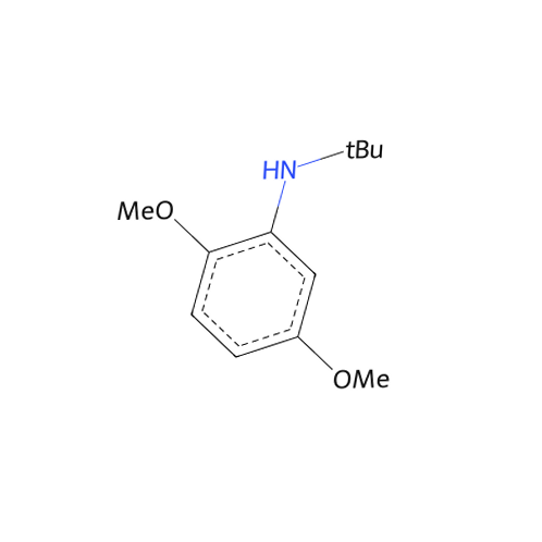 COc1ccc(OC)c(NC(C)(C)C)c1